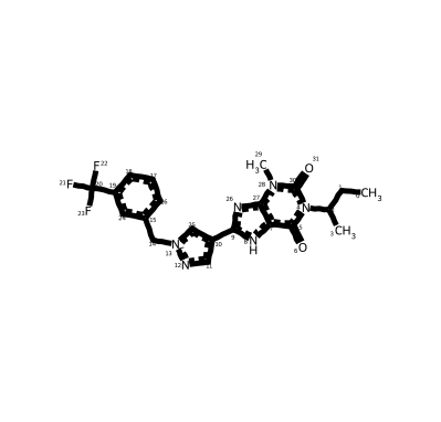 CCC(C)n1c(=O)c2[nH]c(-c3cnn(Cc4cccc(C(F)(F)F)c4)c3)nc2n(C)c1=O